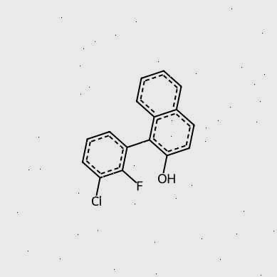 Oc1ccc2ccccc2c1-c1cccc(Cl)c1F